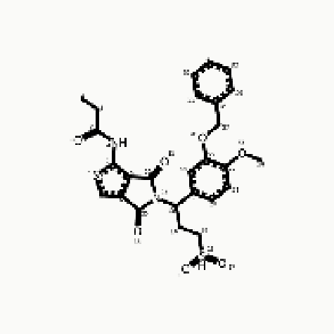 CCC(=O)Nc1scc2c1C(=O)N(C(CC[SH](=O)=O)c1ccc(OC)c(OCc3ccccc3)c1)C2=O